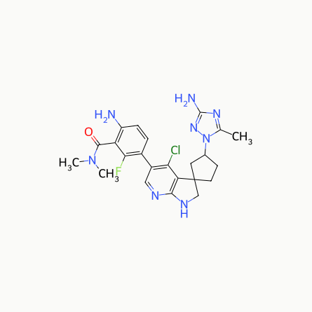 Cc1nc(N)nn1C1CCC2(CNc3ncc(-c4ccc(N)c(C(=O)N(C)C)c4F)c(Cl)c32)C1